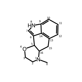 CN1CCOC2c3c[nH]c4cccc(c34)CC21